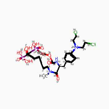 CN(CCCCC(O)(P(=O)(O)O)P(=O)(O)O)C(=O)[C@H](Cc1ccc(N(CCCl)CCCl)cc1)NC(=O)OC(C)(C)C